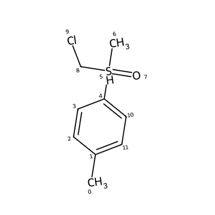 Cc1ccc([SH](C)(=O)CCl)cc1